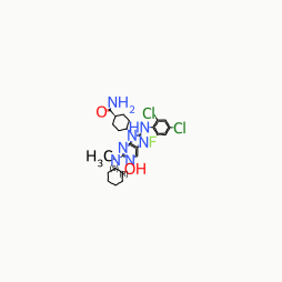 CN(c1ncc2nc(Nc3c(F)cc(Cl)cc3Cl)n([C@H]3CC[C@H](C(N)=O)CC3)c2n1)[C@H]1CCCC[C@H]1O